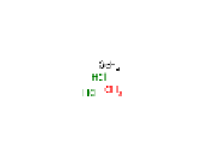 Cl.Cl.O.[GeH4]